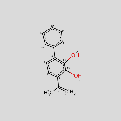 C=C(C)c1ccc(-c2ccccc2)c(O)c1O